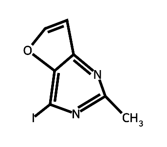 Cc1nc(I)c2occc2n1